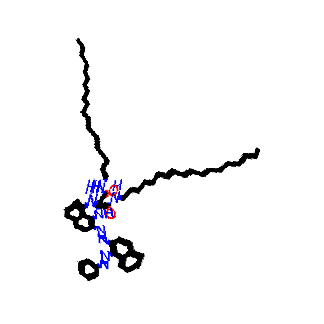 CCCCCCCCCCCCCCCCCCNC(=O)C1(C(=O)NCCCCCCCCCCCCCCCCCC)Nc2cccc3ccc(/N=N/c4ccc5ccccc5c4/N=N/c4ccccc4)c(c23)N1